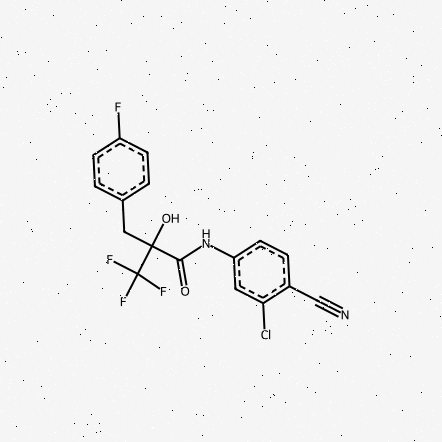 N#Cc1ccc(NC(=O)C(O)(Cc2ccc(F)cc2)C(F)(F)F)cc1Cl